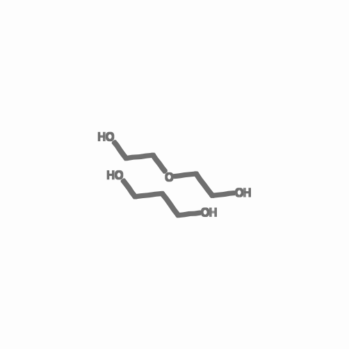 OCCCO.OCCOCCO